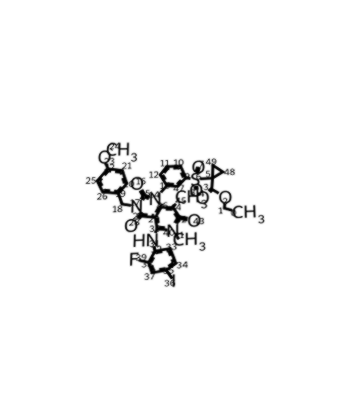 CCOC(=O)C1(S(=O)(=O)c2cccc(-n3c(=O)n(Cc4ccc(OC)cc4)c(=O)c4c(Nc5ccc(I)cc5F)n(C)c(=O)c(C)c43)c2)CC1